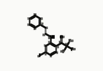 O=C(c1ccc(F)cc1NCCc1ccccc1)C(F)(F)F